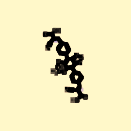 COc1c(OC)c(-c2ccc(/C=C(\C#N)C(=O)O)cc2)c2nsnc2c1-c1ccc(/C=C(\C#N)C(=O)O)cc1